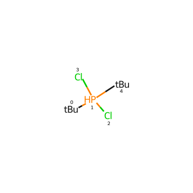 CC(C)(C)[PH](Cl)(Cl)C(C)(C)C